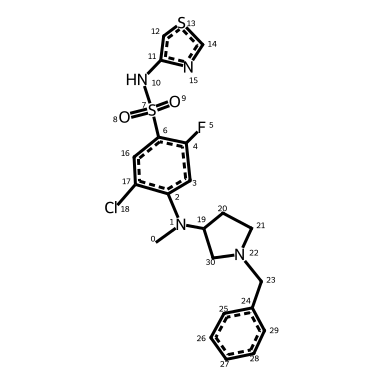 CN(c1cc(F)c(S(=O)(=O)Nc2cscn2)cc1Cl)C1CCN(Cc2ccccc2)C1